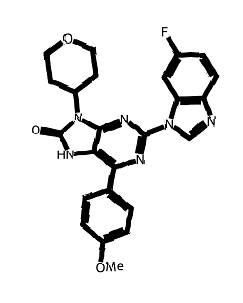 COc1ccc(-c2nc(-n3cnc4ccc(F)cc43)nc3c2[nH]c(=O)n3C2CCOCC2)cc1